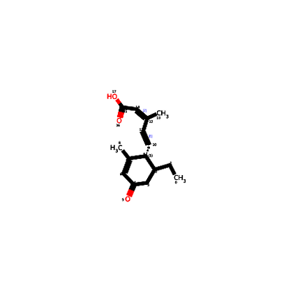 CCC1CC(=O)C=C(C)[C@@H]1/C=C/C(C)=C\C(=O)O